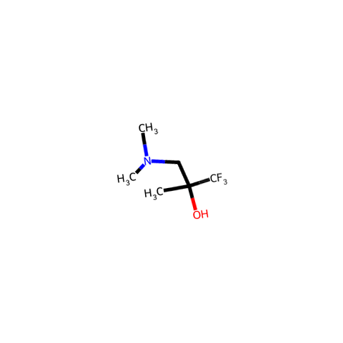 CN(C)CC(C)(O)C(F)(F)F